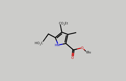 CCOC(=O)c1c(CC(=O)O)[nH]c(C(=O)OC(C)(C)C)c1C